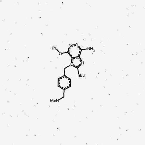 CCCCc1nc2c(N)nnc(OC(C)C)c2n1Cc1ccc(CNC)cc1